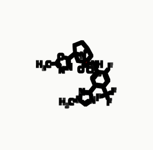 Cc1nnc(C23CCC(CC(C)C2)N3C(=O)Nc2cc(-c3ncn(C)n3)c(C(F)(F)F)cc2F)o1